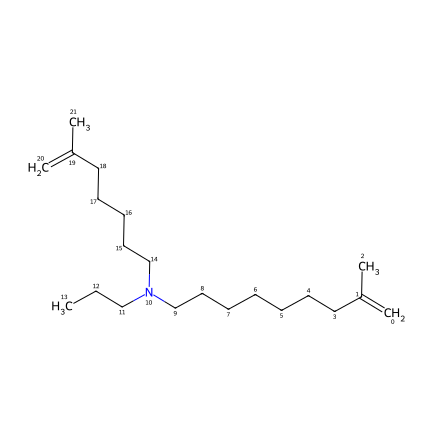 C=C(C)CCCCCCCN(CCC)CCCCCC(=C)C